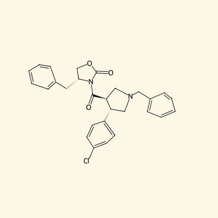 O=C1OC[C@@H](Cc2ccccc2)N1C(=O)[C@H]1CN(Cc2ccccc2)C[C@@H]1c1ccc(Cl)cc1